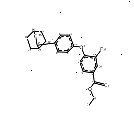 CCOC(=O)c1ccc(Oc2ccc(C3CC4CCC3CC4)cc2)c(F)c1